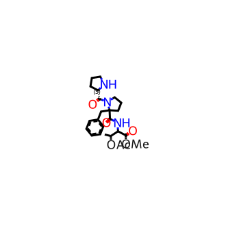 COC(=O)C(NC(=O)C1(Cc2ccccc2)CCCN1C(=O)[C@@H]1CCCN1)C(C)OC(C)=O